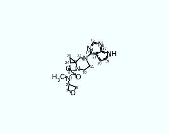 CN(C1COC1)S(=O)(=O)N1CCN(c2ncnc3[nH]ccc23)CC12CC2